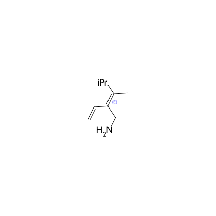 C=C/C(CN)=C(/C)C(C)C